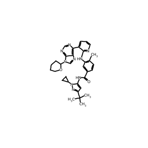 Cc1ccc(C(=O)Nc2cc(C(C)(C)C)nn2C2CC2)cc1Nc1ncccc1-c1ncnc2c1ncn2C1CCCCO1